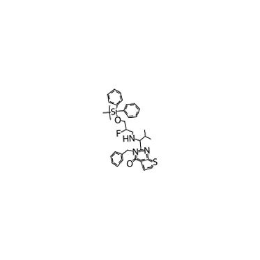 CC(C)C(NCC(F)CO[Si](c1ccccc1)(c1ccccc1)C(C)(C)C)c1nc2sccc2c(=O)n1Cc1ccccc1